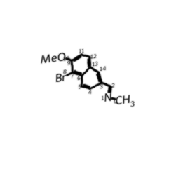 CN=Cc1ccc2c(Br)c(OC)ccc2c1